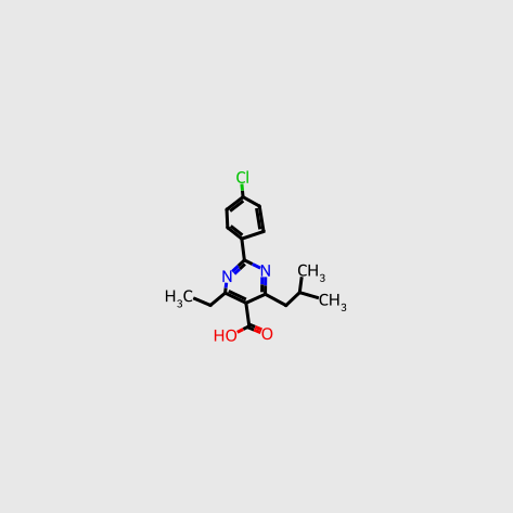 CCc1nc(-c2ccc(Cl)cc2)nc(CC(C)C)c1C(=O)O